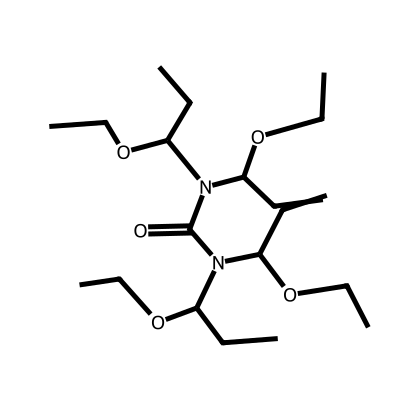 CCOC(CC)N(C(=O)N(C(CC)OCC)C(CC)OCC)C(CC)OCC